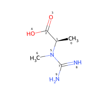 C[C@H](C(=O)O)N(C)C(=N)N